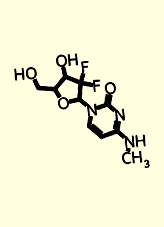 CNc1ccn(C2OC(CO)C(O)C2(F)F)c(=O)n1